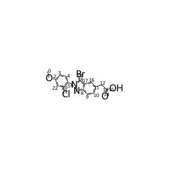 COc1ccc(-n2nc3ccc(CC(=O)O)cc3c2Br)c(Cl)c1